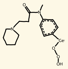 CN(C(=O)CCN1CCCCC1)c1cc[c]([Ge][O]OO)cc1